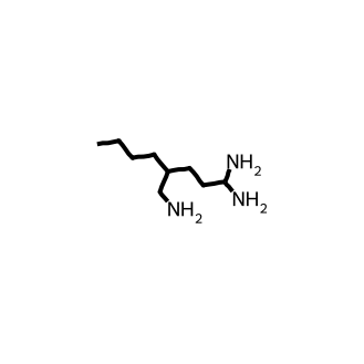 CCCCC(CN)CCC(N)N